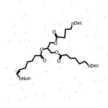 CCCCCCCCC/C=C\CCCCC(=O)OC(COC(=O)CCCCCCCCCCCCC)COC(=O)CCCCCCCCCCCCCCC